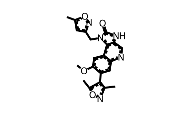 COc1cc2c(cc1-c1c(C)noc1C)ncc1[nH]c(=O)n(Cc3cc(C)on3)c12